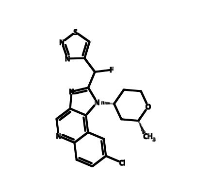 C[C@@H]1C[C@H](n2c(C(F)c3csnn3)nc3cnc4ccc(Cl)cc4c32)CCO1